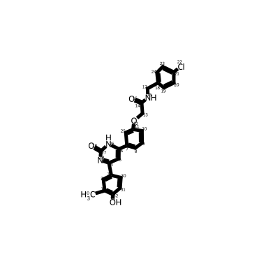 Cc1cc(-c2cc(-c3cccc(OCC(=O)NCc4ccc(Cl)cc4)c3)[nH]c(=O)n2)ccc1O